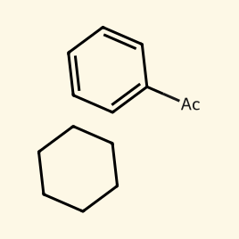 C1CCCCC1.CC(=O)c1ccccc1